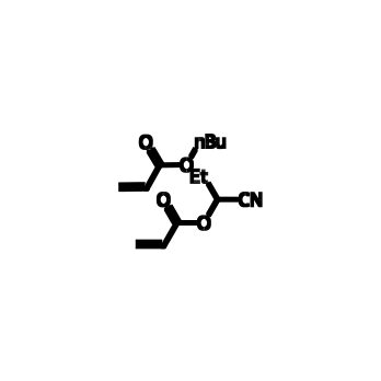 C=CC(=O)OC(C#N)CC.C=CC(=O)OCCCC